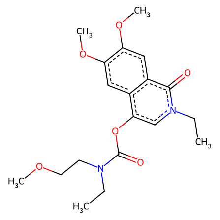 CCN(CCOC)C(=O)Oc1cn(CC)c(=O)c2cc(OC)c(OC)cc12